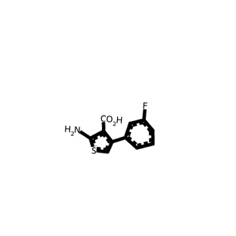 Nc1scc(-c2cccc(F)c2)c1C(=O)O